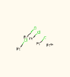 [Cl][Pt-].[Cl][Pt-].[Cl][Pt-].[Cl][Pt-].[Pt+4]